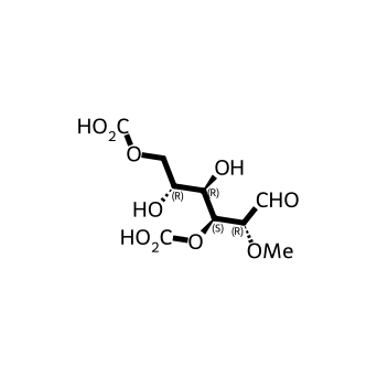 CO[C@@H](C=O)[C@@H](OC(=O)O)[C@H](O)[C@H](O)COC(=O)O